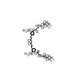 COc1cc(/C=C/C(=O)CC(=O)/C=C/c2ccc(OC(=O)CCNC(=O)OC(C)(C)C)c(OC)c2)ccc1OC(=O)CCNC(=O)OC(C)(C)C